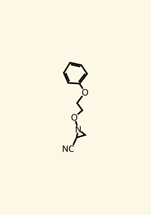 N#CC1CN1OCCOc1ccccc1